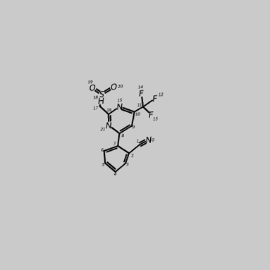 N#Cc1ccccc1-c1cc(C(F)(F)F)nc(C[SH](=O)=O)n1